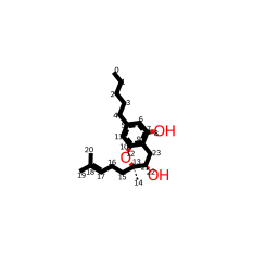 CCCCCc1cc(O)c2c(c1)O[C@](C)(CCC=C(C)C)[C@H](O)C2